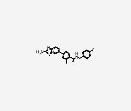 Cc1cc(-c2ccc3nc(N)nn3c2)ccc1C(=O)NCc1ccc(F)cc1